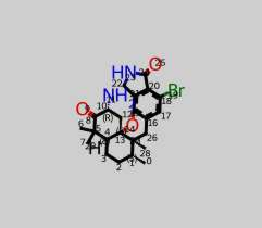 C[C@H]1CC[C@H]2C(C)(C)C(=O)[C@H](N)C[C@]23Oc2c(cc(Br)c4c2CNC4=O)C[C@]13C